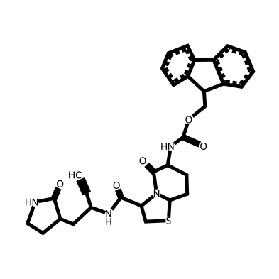 C#CC(CC1CCNC1=O)NC(=O)C1CSC2CCC(NC(=O)OCC3c4ccccc4-c4ccccc43)C(=O)N21